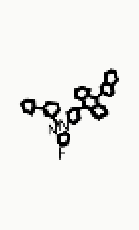 Fc1ccc2c(c1)nc(C1=CCCC(c3ccccc3)=C1)n2-c1ccc(-c2c3ccccc3c(-c3ccc4ccccc4c3)c3ccccc23)cc1